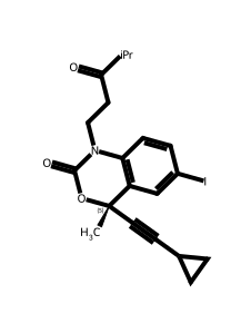 CC(C)C(=O)CCN1C(=O)O[C@@](C)(C#CC2CC2)c2cc(I)ccc21